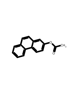 CC(=O)Oc1ccc2c(ccc3ccccc32)c1